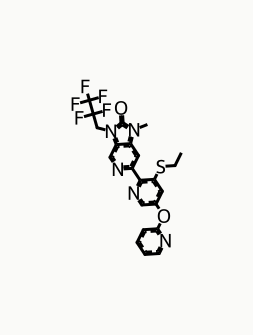 CCSc1cc(Oc2ccccn2)cnc1-c1cc2c(cn1)n(CC(F)(F)C(F)(F)F)c(=O)n2C